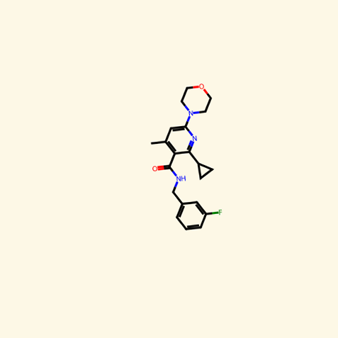 Cc1cc(N2CCOCC2)nc(C2CC2)c1C(=O)NCc1cccc(F)c1